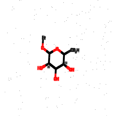 CCOC1OC(C(=O)O)[C@@H](O)C(O)[C@H]1O